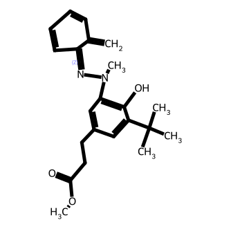 C=C1C=CC=C/C1=N/N(C)c1cc(CCC(=O)OC)cc(C(C)(C)C)c1O